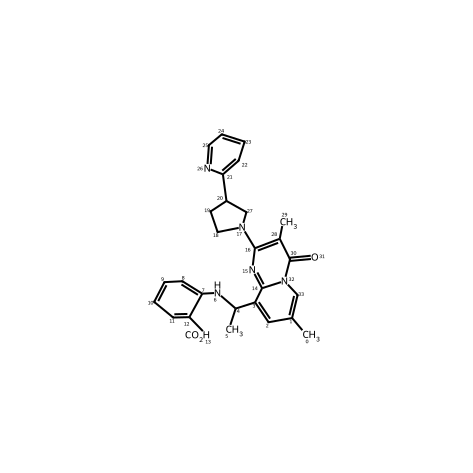 Cc1cc(C(C)Nc2ccccc2C(=O)O)c2nc(N3CCC(c4ccccn4)C3)c(C)c(=O)n2c1